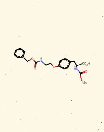 CC(C)(C)OC(=O)N[C@@H](Cc1ccc(OCCNC(=O)OCc2ccccc2)cc1)C(=O)O